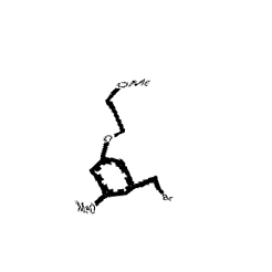 COCCOc1cc(CBr)cc(OC)c1